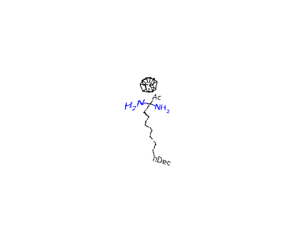 CCCCCCCCCCCCCCCCCC(N)(N)C(C)=O.[CH]12[CH]3[CH]4[CH]5[CH]1[Fe]23451678[CH]2[CH]1[CH]6[CH]7[CH]28